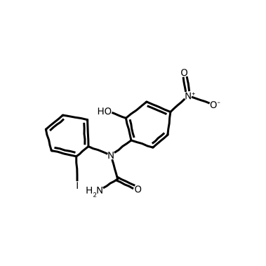 NC(=O)N(c1ccc([N+](=O)[O-])cc1O)c1ccccc1I